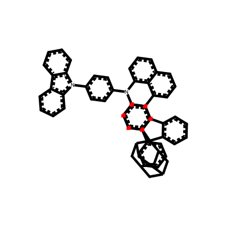 c1ccc(-c2ccc(N(c3ccc(-n4c5ccccc5c5ccccc54)cc3)c3cccc4cccc(-c5cccc6c5-c5ccccc5C65C6CC7CC(C6)CC5C7)c34)cc2)cc1